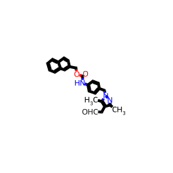 Cc1nn(Cc2ccc(NC(=O)OCc3ccc4ccccc4c3)cc2)c(C)c1CC=O